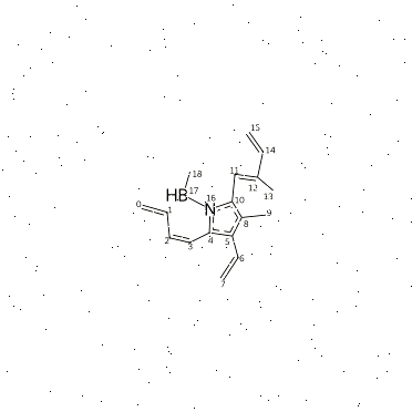 C=C/C=C\c1c(C=C)c(C)c(/C=C(\C)C=C)n1BC